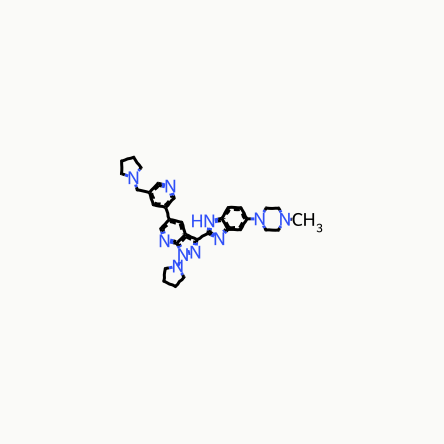 CN1CCN(c2ccc3[nH]c(-c4nn(N5CCCC5)c5ncc(-c6cncc(CN7CCCC7)c6)cc45)nc3c2)CC1